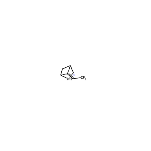 FC(F)(F)/C=C1\C2CNC1C2